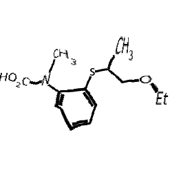 CCOCC(C)Sc1ccccc1N(C)C(=O)O